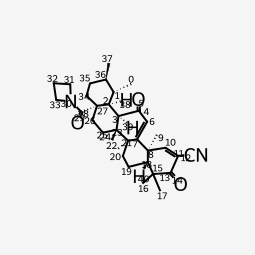 C[C@@H]1[C@H]2[C@H]3C(=O)C=C4[C@@]5(C)C=C(C#N)C(=O)C(C)(C)[C@@H]5CC[C@@]4(C)[C@]3(C)CC[C@@]2(C(=O)N2CCC2)CC[C@H]1C